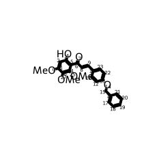 COc1cc(O)c(C(=O)C=Cc2ccc(OCc3ccccc3)cc2)c(OC)c1OC